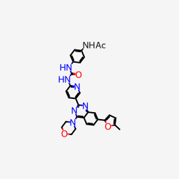 CC(=O)Nc1ccc(NC(=O)Nc2ccc(-c3nc(N4CCOCC4)c4ccc(-c5ccc(C)o5)cc4n3)cn2)cc1